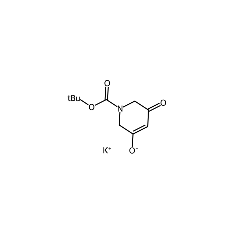 CC(C)(C)OC(=O)N1CC(=O)C=C([O-])C1.[K+]